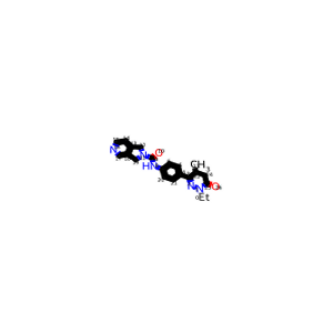 CCN1N=C(c2ccc(NC(=O)N3Cc4ccncc4C3)cc2)C(C)CC1=O